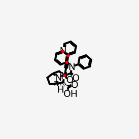 O=C(O)[C@@H]1[C@H]2CCC(CN1C(=O)N(c1ccccc1)c1ccccc1)N2C(=O)C#Cc1ccccn1